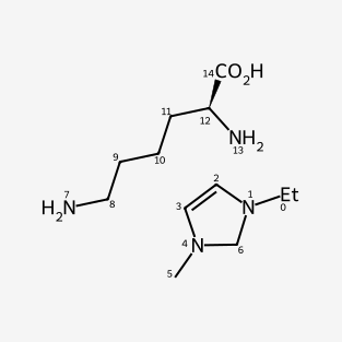 CCN1C=CN(C)C1.NCCCC[C@H](N)C(=O)O